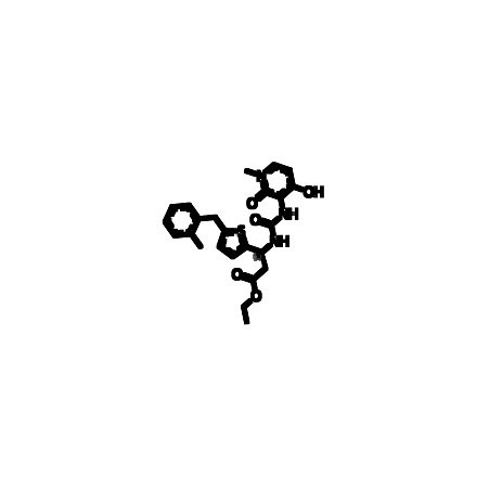 CCOC(=O)C[C@H](NC(=O)Nc1c(O)ccn(C)c1=O)c1ccc(Cc2ccccc2C)s1